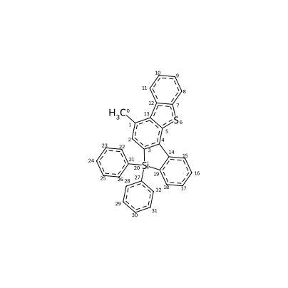 Cc1cc2c(c3sc4ccccc4c13)-c1ccccc1[Si]2(c1ccccc1)c1ccccc1